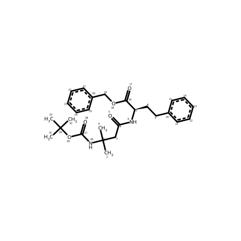 CC(C)(CC(=O)N[C@H](CCc1ccccc1)C(=O)OCc1ccccc1)NC(=O)OC(C)(C)C